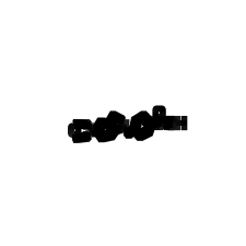 O=C(NO)c1ccc(CN2CCc3cc(N4CCOCC4)ccc32)cc1